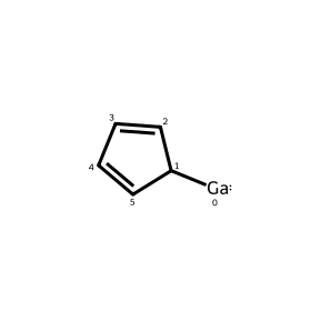 [Ga][CH]1C=CC=C1